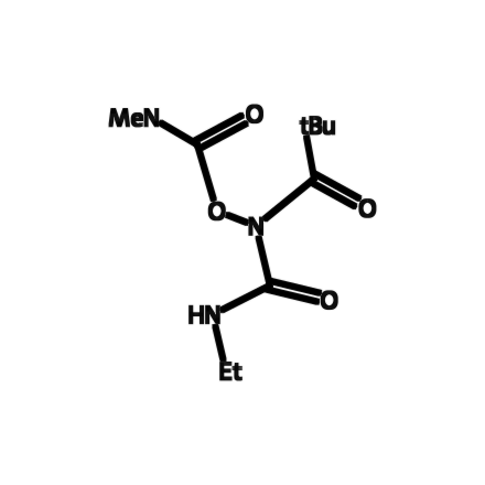 CCNC(=O)N(OC(=O)NC)C(=O)C(C)(C)C